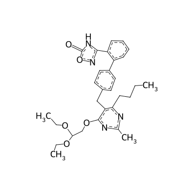 CCCCc1nc(C)nc(OCC(OCC)OCC)c1Cc1ccc(-c2ccccc2-c2noc(=O)[nH]2)cc1